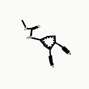 [CH2]OC(=O)Nc1ccc(C#N)c(C#N)c1